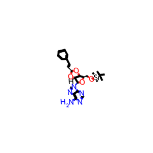 CC(C)(C)[Si](C)(C)OC[C@H]1O[C@@H](n2cnc3c(N)ncnc32)[C@H]2O[C@@H](/C=C/c3ccccc3)OC12